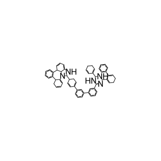 C1=CCC2C(=C1)N1C(C3C=CC(c4cccc(-c5cccc(C6=NC(C7=CCCC=C7c7ccccc7)NC(C7=CCCC=C7)N6)c5)c4)=CC3)NC3=CC=CC(c4ccccc42)C31